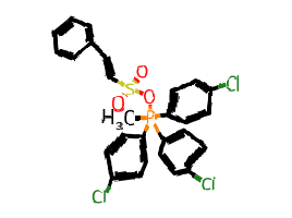 CP(OS(=O)(=O)C=Cc1ccccc1)(c1ccc(Cl)cc1)(c1ccc(Cl)cc1)c1ccc(Cl)cc1